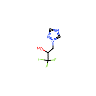 OC(Cn1cncn1)C(F)(F)F